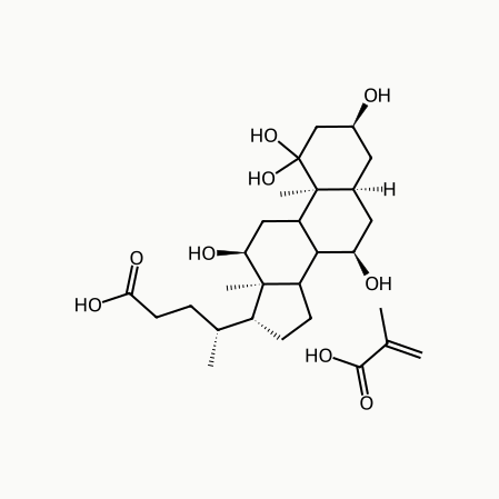 C=C(C)C(=O)O.C[C@H](CCC(=O)O)[C@H]1CCC2C3C(C[C@H](O)[C@@]21C)[C@]1(C)[C@@H](C[C@H](O)CC1(O)O)C[C@H]3O